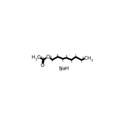 CCCCCCCCOC(C)=O.[NaH]